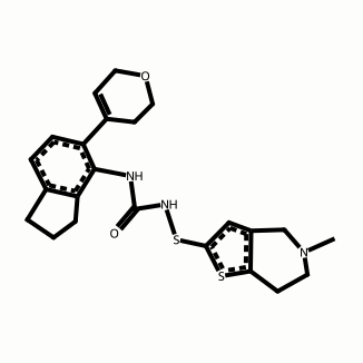 CN1CCc2sc(SNC(=O)Nc3c(C4=CCOCC4)ccc4c3CCC4)cc2C1